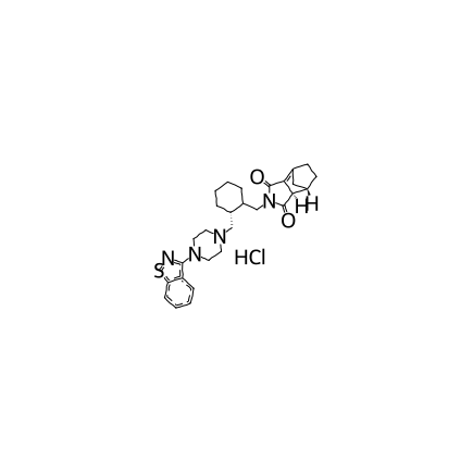 Cl.O=C1C2=C3CC[C@@H](C3)[C@H]2C(=O)N1CC1CCCC[C@H]1CN1CCN(c2nsc3ccccc23)CC1